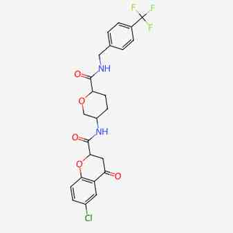 O=C1CC(C(=O)NC2CCC(C(=O)NCc3ccc(C(F)(F)F)cc3)OC2)Oc2ccc(Cl)cc21